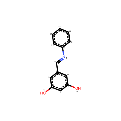 Oc1cc(O)cc(/C=N/c2ccccc2)c1